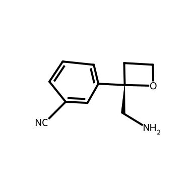 N#Cc1cccc([C@]2(CN)CCO2)c1